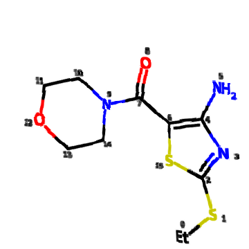 CCSc1nc(N)c(C(=O)N2CCOCC2)s1